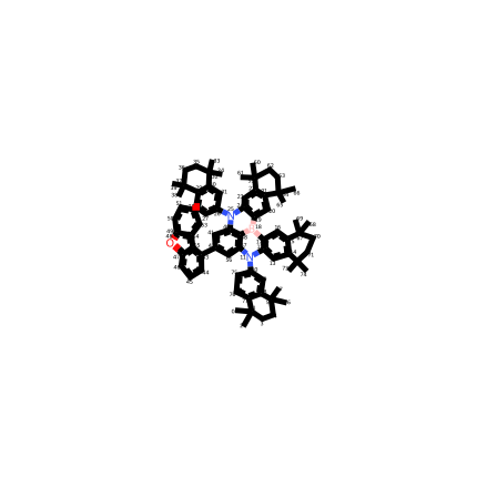 CC1(C)CCC(C)(C)c2cc(N3c4cc5c(cc4B4c6cc7c(cc6N(c6ccc8c(c6)C(C)(C)CCC8(C)C)c6cc(-c8cccc9oc%10ccccc%10c89)cc3c64)C(C)(C)CCC7(C)C)C(C)(C)CCC5(C)C)ccc21